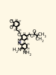 C=C(C)C(=O)OCc1ccc(/N=N\c2cccc(N)c2N)c(OCCC2=CC=CC(=O)C2=O)c1